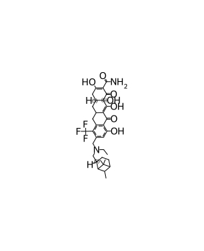 CCN(Cc1cc(O)c2c(c1C(F)(F)F)CC1C[C@H]3CC(O)=C(C(N)=O)C(=O)[C@@]3(O)C(O)=C1C2=O)C[C@@H]1CCC2C(C)C1C2(C)C